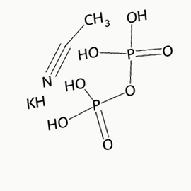 CC#N.O=P(O)(O)OP(=O)(O)O.[KH]